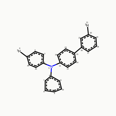 [3H]c1ccc(N(c2ccccc2)c2ccc(-c3cccc([3H])c3)cc2)cc1